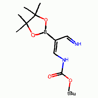 CC(C)(C)OC(=O)N/C=C(\C=N)B1OC(C)(C)C(C)(C)O1